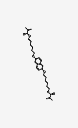 C=C(C)C(=O)OCCCCCCOc1ccc2cc(OCCCCCCOC(=O)C(=C)C)ccc2c1